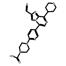 O=Cc1cn2c(-c3ccc(N4CCN(C(=O)O)CC4)nc3)cnc(C3CCOCC3)c2n1